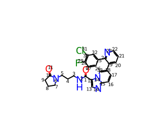 O=C(NCCCN1CCCC1=O)c1cnc2ccc(-c3cccnc3-c3ccc(F)c(Cl)c3)cn12